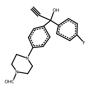 C#CC(O)(c1ccc(F)cc1)c1ccc(N2CCN(C=O)CC2)cc1